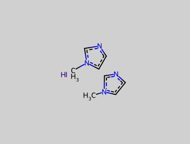 Cn1ccnc1.Cn1ccnc1.I